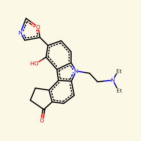 CCN(CC)CCn1c2ccc(-c3cnco3)c(O)c2c2c3c(ccc21)C(=O)CC3